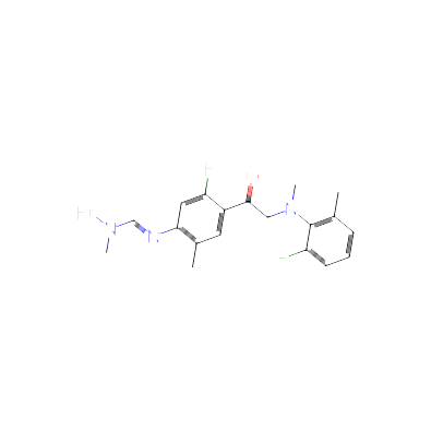 CCN(C)C=Nc1cc(F)c(C(=O)CN(C)c2c(C)cccc2F)cc1C